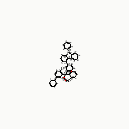 c1ccc(-c2ccc3c(c2)C2(c4ccccc4Oc4ccccc42)c2cccc(-c4cccc5c4c4ccccc4n5-c4ccccc4)c2O3)cc1